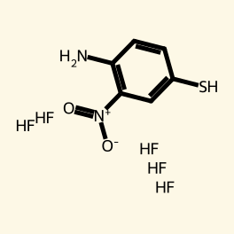 F.F.F.F.F.Nc1ccc(S)cc1[N+](=O)[O-]